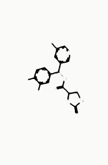 O=C1NCC(C(=O)N[C@H](c2cncc(Cl)c2)c2ccc(F)c(Cl)c2)O1